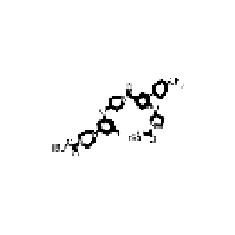 CC(C)(C)OC(=O)N1CCN(c2cc(F)cc(OC3CCN(C(=O)c4ccc(O[C@H]5CCN(C(=O)OC(C)(C)C)C5)c([C@H]5CC[C@H](C(F)(F)F)CC5)c4)CC3)c2)CC1